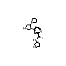 O=C(N[C@H]1CCNC1)c1nccc(C2CNCC2N2CCCC2)n1